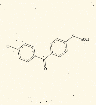 CCCCCCCCSc1ccc(C(=O)c2ccc(Cl)cc2)cc1